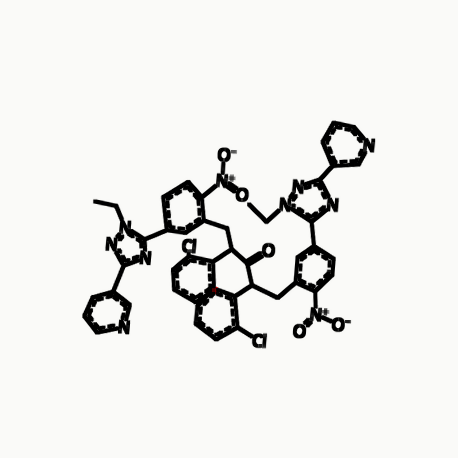 CCn1nc(-c2cccnc2)nc1-c1ccc([N+](=O)[O-])c(CC(C(=O)C(Cc2cc(-c3nc(-c4cccnc4)nn3CC)ccc2[N+](=O)[O-])c2ccccc2Cl)c2ccccc2Cl)c1